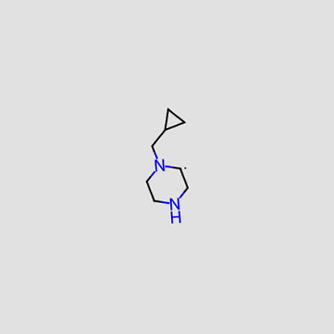 [CH]1CNCCN1CC1CC1